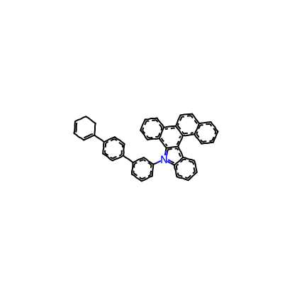 C1=CCCC(c2ccc(-c3cccc(-n4c5ccccc5c5c6c7ccccc7ccc6c6ccccc6c54)c3)cc2)=C1